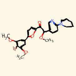 COc1cc(-c2ccc(C(=O)C(OC)c3ccc(N4CCCCC4)nc3)o2)cc(OC)c1Br